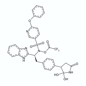 O=C1CC(c2ccc(C[C@@H](c3nc4ccccc4[nH]3)N(OC(=O)C(F)(F)F)S(=O)(=O)c3ccc(Oc4ccccc4)nc3)cc2)S(O)(O)N1